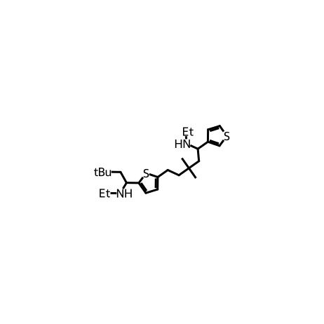 CCNC(CC(C)(C)CCc1ccc(C(CC(C)(C)C)NCC)s1)c1ccsc1